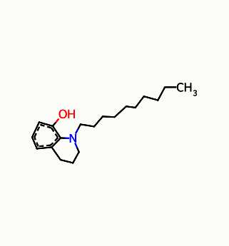 CCCCCCCCCCN1CCCc2cccc(O)c21